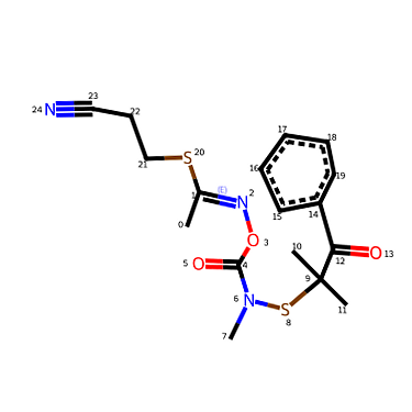 C/C(=N\OC(=O)N(C)SC(C)(C)C(=O)c1ccccc1)SCCC#N